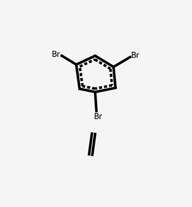 Brc1cc(Br)cc(Br)c1.C=C